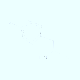 NC(Cc1ccc(Br)nc1)C(=O)O